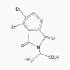 CCc1ccc2c(c1CC)C(=O)N(C(C(=O)O)C(=O)O)C2=O